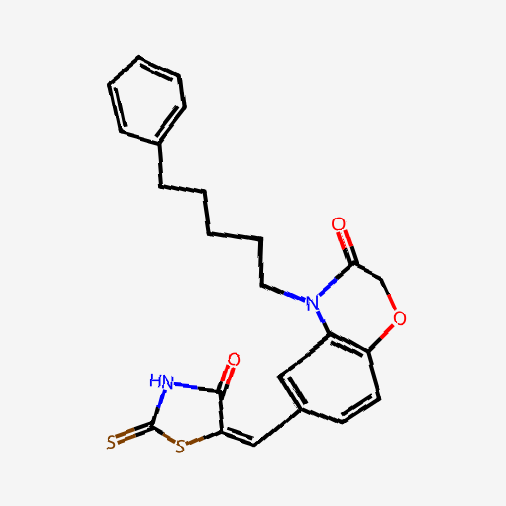 O=C1NC(=S)SC1=Cc1ccc2c(c1)N(CCCCCc1ccccc1)C(=O)CO2